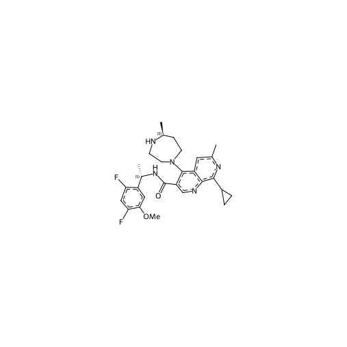 COc1cc([C@H](C)NC(=O)c2cnc3c(C4CC4)nc(C)cc3c2N2CCN[C@@H](C)CC2)c(F)cc1F